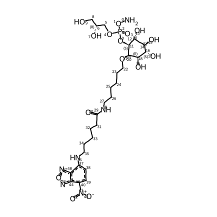 NOP(=O)(OC[C@H](O)CO)O[C@H]1[C@H](O)[C@@H](O)[C@H](O)[C@@H](O)[C@H]1OCCCCCCNC(=O)CCCCCNc1ccc([N+](=O)[O-])c2nonc12